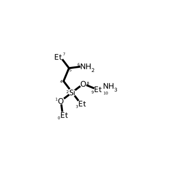 CCO[Si](CC)(CC(N)CC)OCC.N